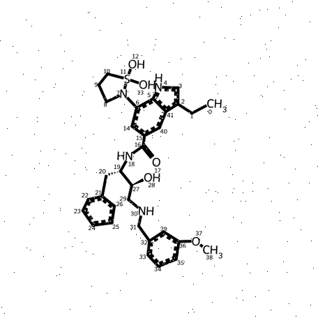 CCc1c[nH]c2c(N3CCCS3(O)O)cc(C(=O)N[C@@H](Cc3ccccc3)[C@@H](O)CNCc3cccc(OC)c3)cc12